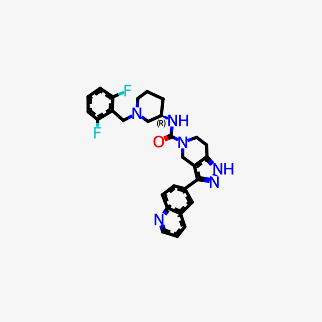 O=C(N[C@@H]1CCCN(Cc2c(F)cccc2F)C1)N1CCc2[nH]nc(-c3ccc4ncccc4c3)c2C1